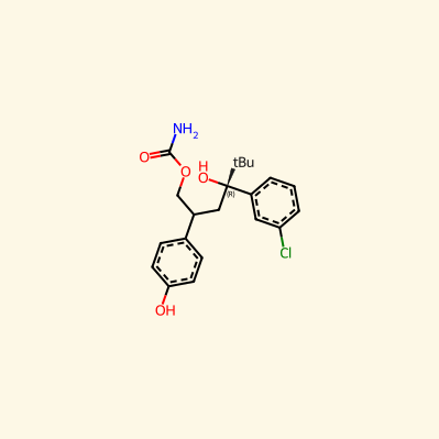 CC(C)(C)[C@](O)(CC(COC(N)=O)c1ccc(O)cc1)c1cccc(Cl)c1